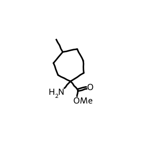 COC(=O)C1(N)CCCC(C)CC1